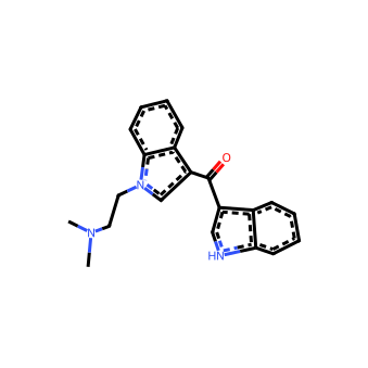 CN(C)CCn1cc(C(=O)c2c[nH]c3ccccc23)c2ccccc21